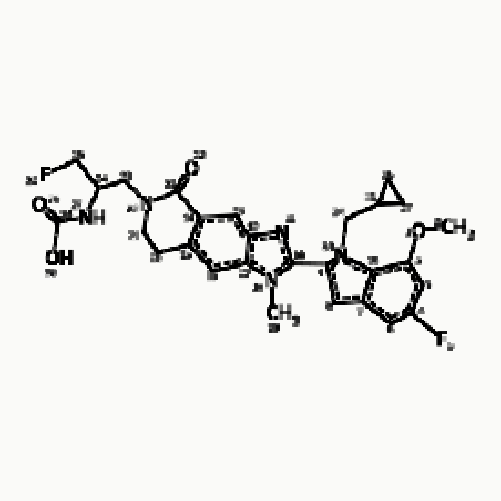 COc1cc(F)cc2cc(-c3nc4cc5c(cc4n3C)CCN(CC(CF)NC(=O)O)C5=O)n(CC3CC3)c12